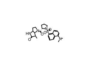 CC1C(=O)NC2CCN(C(=O)[C@@H]3CCCN3S(=O)(=O)c3cccc4c(N(C)C)cccc34)C21